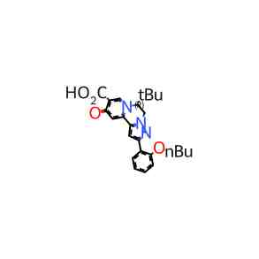 CCCCOc1ccccc1-c1cc2n(n1)C[C@@H](C(C)(C)C)n1cc(C(=O)O)c(=O)cc1-2